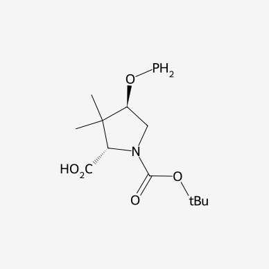 CC(C)(C)OC(=O)N1C[C@H](OP)C(C)(C)[C@H]1C(=O)O